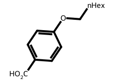 CCCCCCCOc1ccc(C(=O)O)cc1